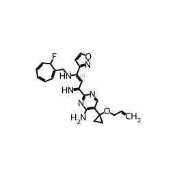 C=CCOC1(c2cnc(C(=N)/C=C(\NCC3=CC=CC=CC3F)c3ccon3)nc2N)CC1